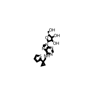 OC[C@H]1O[C@@H](n2cnc3c(NCC4(c5cccs5)CC4)ncnc32)C(O)C1O